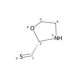 S=C[C@H]1NCCO1